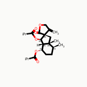 C=C1COC(=O)[C@]12C[C@@]1(C)[C@H]([C@@H](OC(=O)C(C)C)CC[C@@H]1C)[C@H]2OC(=O)C(C)C